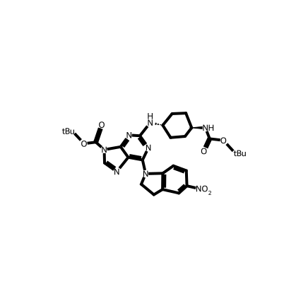 CC(C)(C)OC(=O)N[C@H]1CC[C@H](Nc2nc(N3CCc4cc([N+](=O)[O-])ccc43)c3ncn(C(=O)OC(C)(C)C)c3n2)CC1